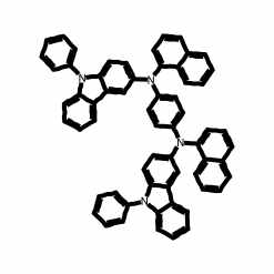 c1ccc(-n2c3ccccc3c3cc(N(c4ccc(N(c5ccc6c(c5)c5ccccc5n6-c5ccccc5)c5cccc6ccccc56)cc4)c4cccc5ccccc45)ccc32)cc1